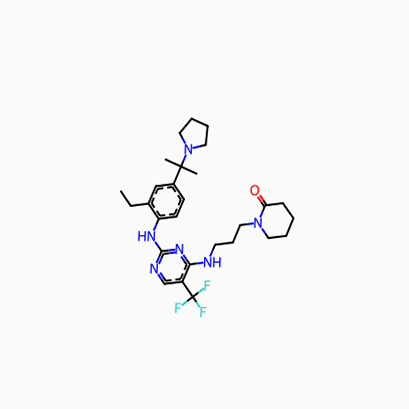 CCc1cc(C(C)(C)N2CCCC2)ccc1Nc1ncc(C(F)(F)F)c(NCCCN2CCCCC2=O)n1